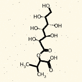 CC(C)C(OC(=O)[C@H](O)[C@H](O)[C@H](O)[C@@H](O)[C@H](O)CO)C(=O)O